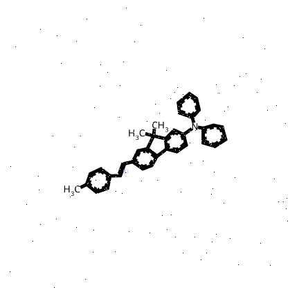 Cc1ccc(/C=C/c2ccc3c(c2)C(C)(C)c2cc(N(c4ccccc4)c4ccccc4)ccc2-3)cc1